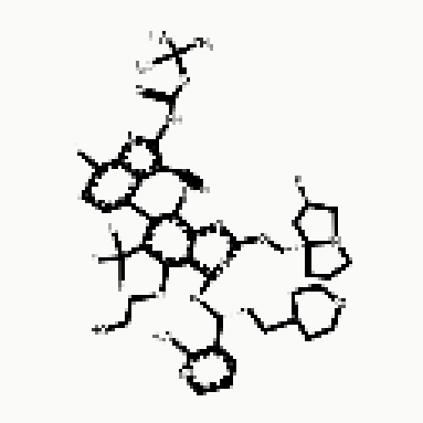 CC(C)(C)OC(=O)Nc1sc2c(F)ccc(-c3c(C(F)(F)F)c(OCCO)c4c(N[C@H](CCC5CCOCC5)c5cccnc5N)nc(OC[C@@]56CCCN5C[C@H](F)C6)nc4c3F)c2c1C#N